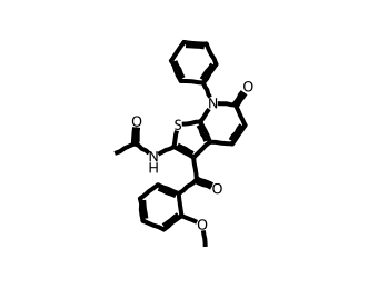 COc1ccccc1C(=O)c1c(NC(C)=O)sc2c1ccc(=O)n2-c1ccccc1